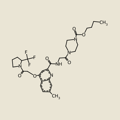 CCCCOC(=O)N1CCN(C(=O)CNC(=O)c2cc(OCC(=O)N3CCCC3C(F)(F)F)c3ccc(C)cc3n2)CC1